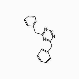 [c]1nc(Cc2ccccc2)nc(Cc2ccccc2)n1